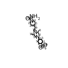 CC1CN(c2ccc(S(C)(=O)=O)cc2)CC(C)N1CCC1CCN(C(N)=O)CC1